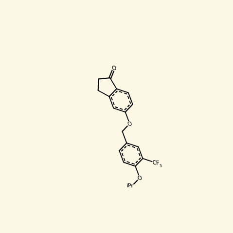 CC(C)Oc1ccc(COc2ccc3c(c2)CCC3=O)cc1C(F)(F)F